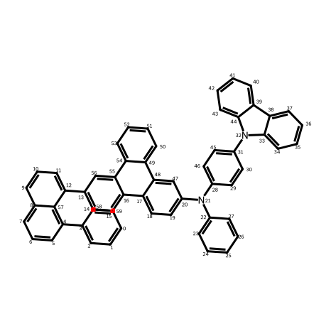 c1ccc(-c2cccc3cccc(-c4ccc5c6ccc(N(c7ccccc7)c7ccc(-n8c9ccccc9c9ccccc98)cc7)cc6c6ccccc6c5c4)c23)cc1